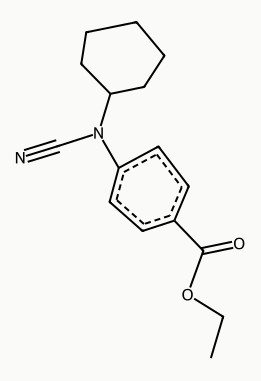 CCOC(=O)c1ccc(N(C#N)C2CCCCC2)cc1